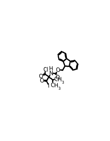 CC(C)C(NC(=O)OCC1c2ccccc2-c2ccccc21)(C(=O)Cl)C(=O)I